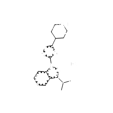 CC(C)c1nn(-c2noc(C3CCNCC3)n2)c2ccccc12.Cl